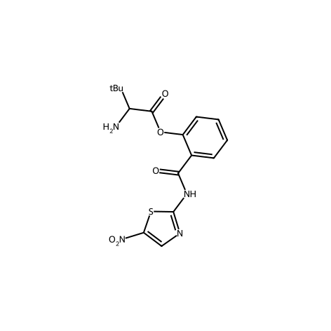 CC(C)(C)C(N)C(=O)Oc1ccccc1C(=O)Nc1ncc([N+](=O)[O-])s1